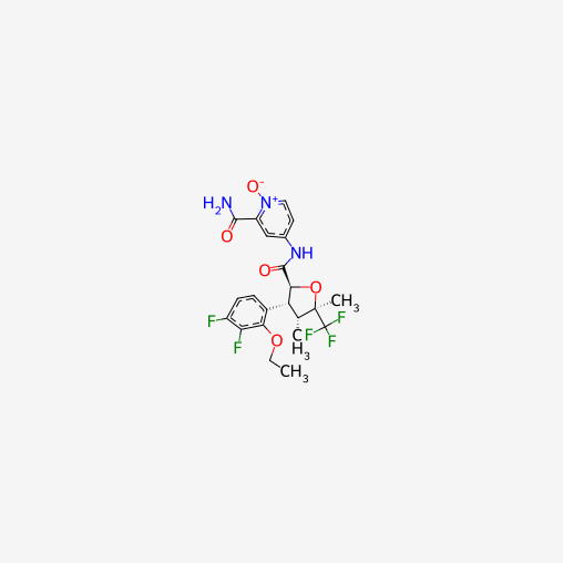 CCOc1c([C@@H]2[C@@H](C(=O)Nc3cc[n+]([O-])c(C(N)=O)c3)O[C@@](C)(C(F)(F)F)[C@@H]2C)ccc(F)c1F